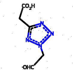 O=[C]Cn1nnc(CC(=O)O)n1